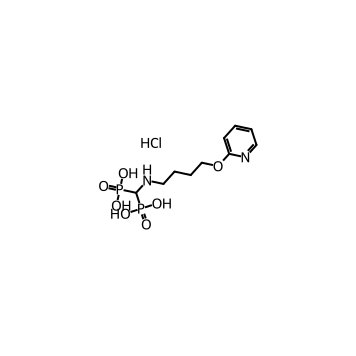 Cl.O=P(O)(O)C(NCCCCOc1ccccn1)P(=O)(O)O